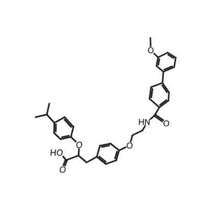 COc1cccc(-c2ccc(C(=O)NCCOc3ccc(CC(Oc4ccc(C(C)C)cc4)C(=O)O)cc3)cc2)c1